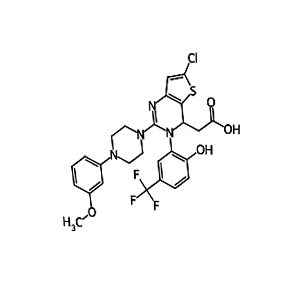 COc1cccc(N2CCN(C3=Nc4cc(Cl)sc4C(CC(=O)O)N3c3cc(C(F)(F)F)ccc3O)CC2)c1